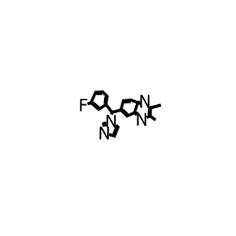 Cc1nc2ccc(C(c3cccc(F)c3)n3ccnc3)cc2nc1C